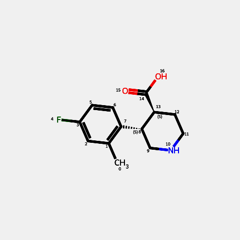 Cc1cc(F)ccc1[C@H]1CNCC[C@@H]1C(=O)O